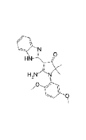 COc1ccc(OC)c(N2C(N)=C(c3nc4ccccc4[nH]3)C(=O)C2(C)C)c1